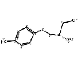 CC(=O)O[C@@H](CCl)COc1ccc(O)cc1